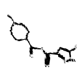 CN1CCC(C(=O)OC(=O)c2cc(Br)[nH]n2)CC1